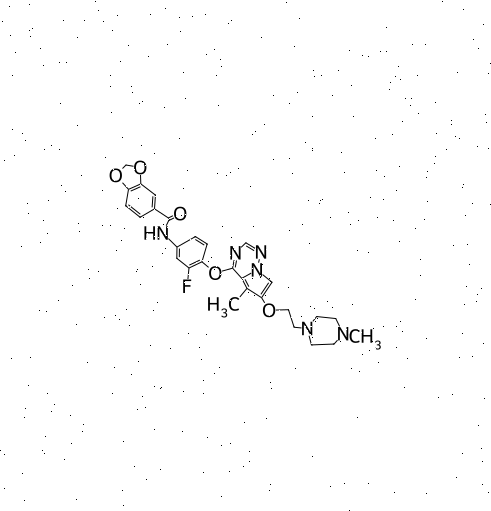 Cc1c(OCCN2CCN(C)CC2)cn2ncnc(Oc3ccc(NC(=O)c4ccc5c(c4)OCO5)cc3F)c12